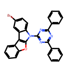 Brc1ccc2c(c1)c1c3ccccc3oc1n2-c1nc(-c2ccccc2)nc(-c2ccccc2)n1